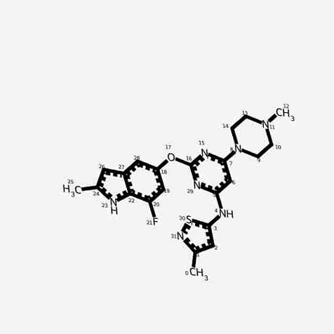 Cc1cc(Nc2cc(N3CCN(C)CC3)nc(Oc3cc(F)c4[nH]c(C)cc4c3)n2)sn1